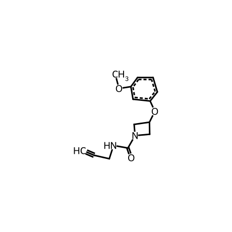 C#CCNC(=O)N1CC(Oc2cccc(OC)c2)C1